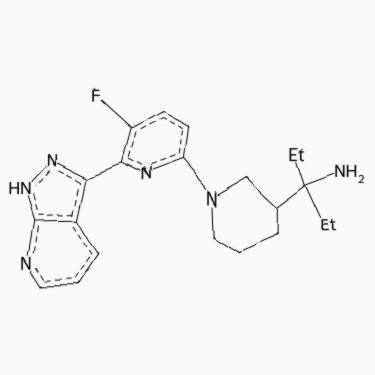 CCC(N)(CC)C1CCCN(c2ccc(F)c(-c3n[nH]c4ncccc34)n2)C1